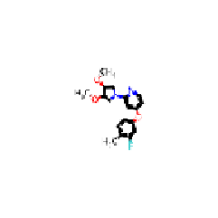 COC1CN(c2cc(Oc3ccc(C)c(F)c3)ccn2)CC1OC